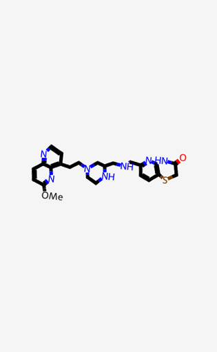 COc1ccc2nccc(CCN3CCNC(CNCc4ccc5c(n4)NC(=O)CS5)C3)c2n1